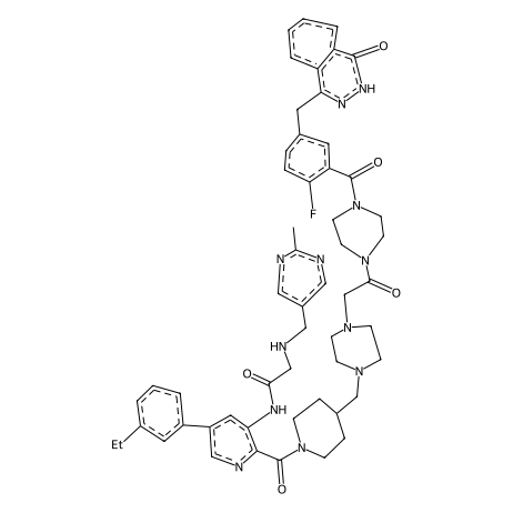 CCc1cccc(-c2cnc(C(=O)N3CCC(CN4CCN(CC(=O)N5CCN(C(=O)c6cc(Cc7n[nH]c(=O)c8ccccc78)ccc6F)CC5)CC4)CC3)c(NC(=O)CNCc3cnc(C)nc3)c2)c1